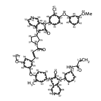 C=CC(=O)Nc1cccc(-n2c(=O)n(-c3ccc(Oc4cc(/C=C/C(=O)N5CC[C@@H](n6c(=O)n(-c7ccc(Oc8cccc(OC)c8)c(Cl)c7)c7cnccc76)C5)cc(OC(C)C)c4)c(C)c3)c3cnccc32)c1